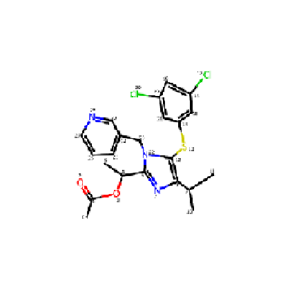 CC(=O)OC(C)c1nc(C(C)C)c(Sc2cc(Cl)cc(Cl)c2)n1Cc1cccnc1